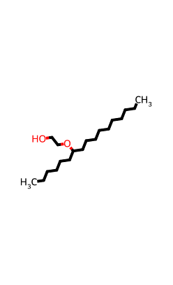 CCCCCCCCCCC(CCCCCC)OCCO